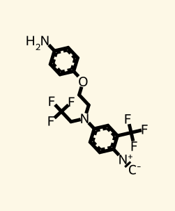 [C-]#[N+]c1ccc(N(CCOc2ccc(N)cc2)CC(F)(F)F)cc1C(F)(F)F